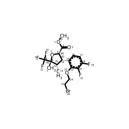 COC(=O)[C@@H]1O[C@@](C)(C(F)(F)F)[C@@H](C)[C@H]1c1ccc(F)c(F)c1OCCBr